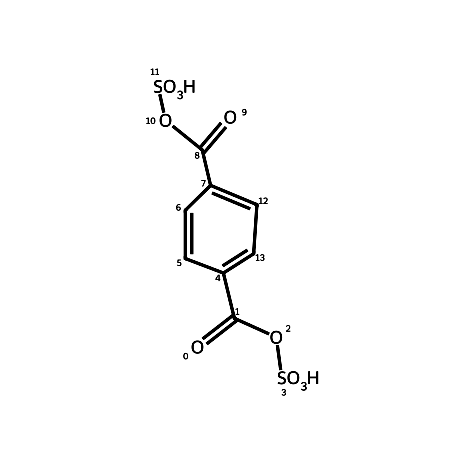 O=C(OS(=O)(=O)O)c1ccc(C(=O)OS(=O)(=O)O)cc1